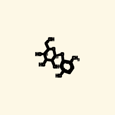 Cc1ccc(O)cc1O[C@@H]1OC(CO)[C@H](O)C(O)C1O